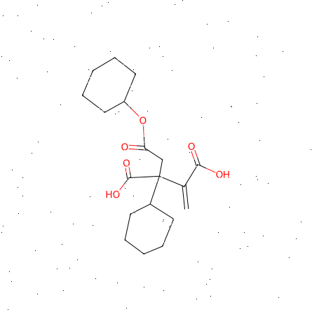 C=C(C(=O)O)C(CC(=O)OC1CCCCC1)(C(=O)O)C1CCCCC1